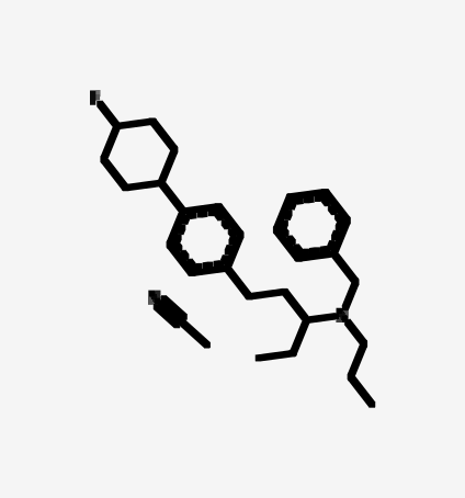 CC#N.CCCN(Cc1ccccc1)C(CC)CCc1ccc(C2CCC(F)CC2)cc1